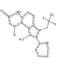 Cc1c(-c2ccccn2)n(CC(F)(F)C(F)(F)F)c2ccc3[nH]c(=O)cc(Cl)c3c12